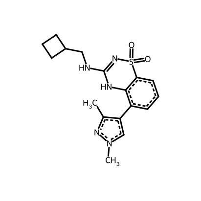 Cc1nn(C)cc1-c1cccc2c1NC(NCC1CCC1)=NS2(=O)=O